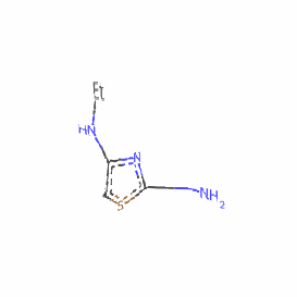 CCNc1csc(N)n1